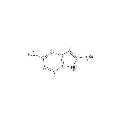 CCCCc1nc2cc(C)ccc2[nH]1